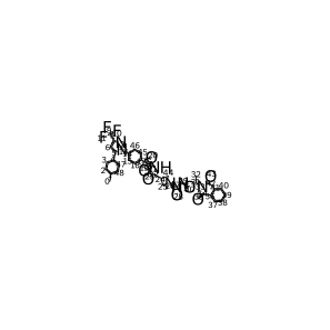 Cc1ccc(-c2cc(C(F)(F)F)nn2-c2ccc(S(=O)(=O)NC(=O)C3CN([N+]([O-])=NOC(C)N4C(=O)c5ccccc5C4=O)C3)cc2)cc1